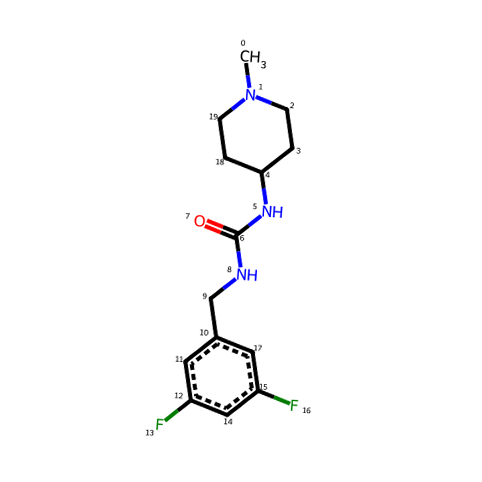 CN1CCC(NC(=O)NCc2cc(F)cc(F)c2)CC1